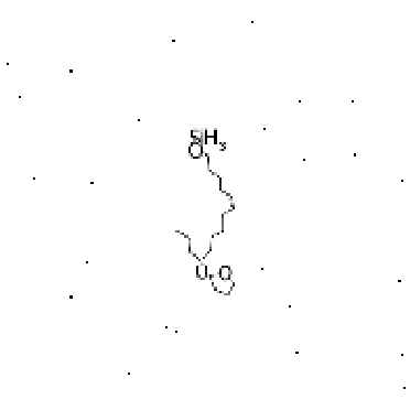 CCCC(CCCC/C=C\CCCCO[SiH3])OC1CCCO1